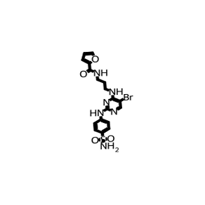 NS(=O)(=O)c1ccc(Nc2ncc(Br)c(NCCCNC(=O)c3ccco3)n2)cc1